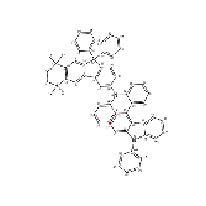 CC1(C)CCC(C)(C)c2cc3c(cc21)-c1cc(N(c2ccccc2)c2ccccc2-c2cccc4c2c2ccccc2n4-c2ccccc2)ccc1C3(c1ccccc1)c1ccccc1